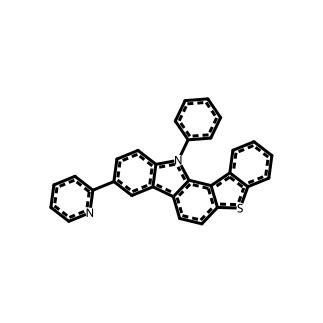 c1ccc(-n2c3ccc(-c4ccccn4)cc3c3ccc4sc5ccccc5c4c32)cc1